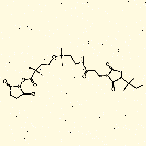 CCC(C)(C)C1CC(=O)N(CCC(=O)NCCC(C)(C)OCCC(C)(C)C(=O)ON2C(=O)CCC2=O)C1=O